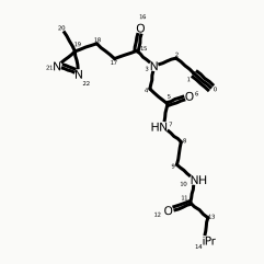 C#CCN(CC(=O)NCCNC(=O)CC(C)C)C(=O)CCC1(C)N=N1